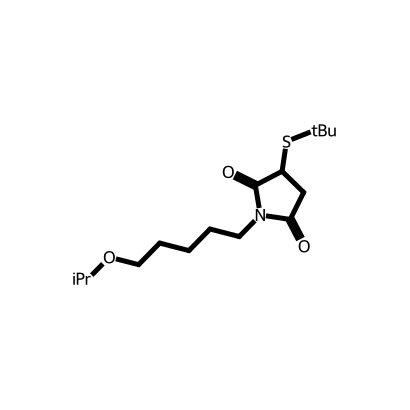 CC(C)OCCCCCN1C(=O)CC(SC(C)(C)C)C1=O